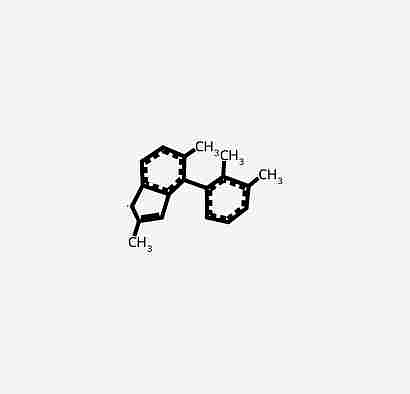 CC1=Cc2c(ccc(C)c2-c2cccc(C)c2C)[CH]1